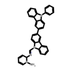 NN1C=CC=CC1/N=C/n1c2ccccc2c2cc(-c3ccc4c(c3)c3ccccc3n4-c3ccccc3)ccc21